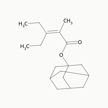 CCC(CC)=C(C)C(=O)OC12CC3CC(CC(C3)C1)C2